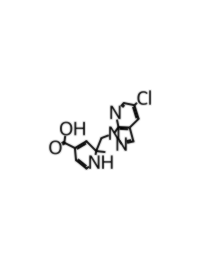 CC1(Cn2ncc3cc(Cl)cnc32)C=C(C(=O)O)C=CN1